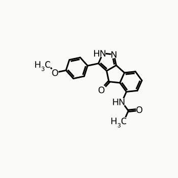 COc1ccc(-c2[nH]nc3c2C(=O)c2c(NC(C)=O)cccc2-3)cc1